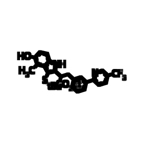 CCOC(=O)C(Cc1cccc(-c2ccc(C(F)(F)F)cn2)c1)c1[nH]c2ccc(O)c(C)c2c1SC(C)(C)C